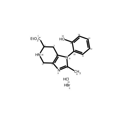 Br.CCOC(=O)C1Cc2c(nc(C)n2-c2ccccc2O)CN1.Cl